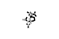 C[SiH](C)OC1(O[SiH](C)C)CCC[Si](O[SiH](C)C)(O[SiH](C)C)O1